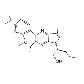 CCC[C@@H](CO)n1cc(C)c2nc(-c3ccc(C(C)C)nc3OC)c(CC)nc21